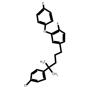 CC(C)(CCCc1ccc(F)c(Oc2ccc(F)cc2)c1)c1ccc(Cl)cc1